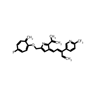 C=C/C(=C\C=C1\C=C(COC2=CC=C(F)C=CC2=C)N=C1C(=C)C)c1ccc(C(F)(F)F)nc1